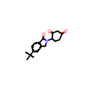 CC(C)(C)c1ccc2c(c1)CN(C1CCC(=O)CC1=O)C2=O